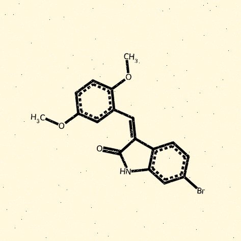 COc1ccc(OC)c(C=C2C(=O)Nc3cc(Br)ccc32)c1